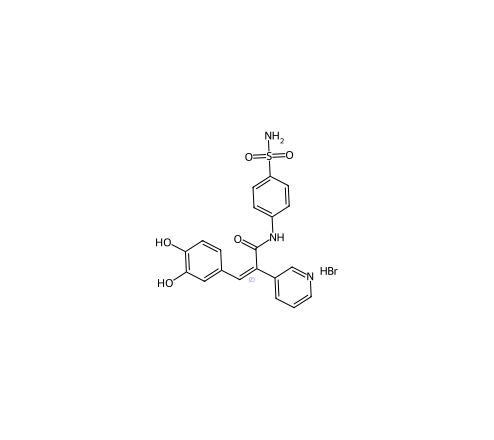 Br.NS(=O)(=O)c1ccc(NC(=O)/C(=C\c2ccc(O)c(O)c2)c2cccnc2)cc1